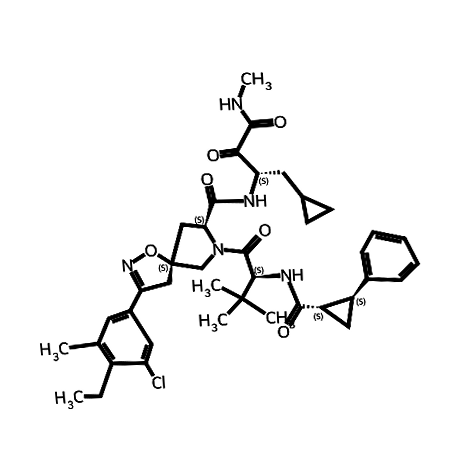 CCc1c(C)cc(C2=NO[C@]3(C2)C[C@@H](C(=O)N[C@@H](CC2CC2)C(=O)C(=O)NC)N(C(=O)[C@@H](NC(=O)[C@H]2C[C@@H]2c2ccccc2)C(C)(C)C)C3)cc1Cl